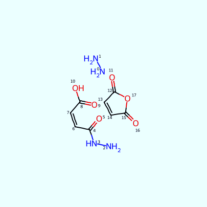 NN.NNC(=O)/C=C\C(=O)O.O=C1C=CC(=O)O1